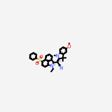 CC[N+]1=C(/C(C#N)=C2\N(C)c3ccc(OC)cc3C2(C)C)c2cccc3c(S(=O)(=O)c4ccccc4)ccc1c23